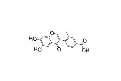 Cc1cc(C(=O)O)ccc1-c1coc2cc(O)c(O)cc2c1=O